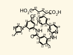 Cc1cn(-c2cc(NC(=O)c3ccc(C)c(Nc4nccc(-c5cccnc5)n4)c3)cc(C(F)(F)F)c2)cn1.O=C(O)CCCCC(=O)O